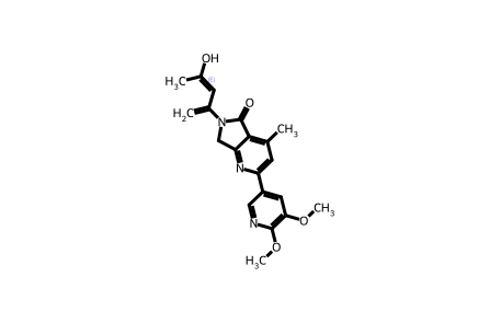 C=C(/C=C(\C)O)N1Cc2nc(-c3cnc(OC)c(OC)c3)cc(C)c2C1=O